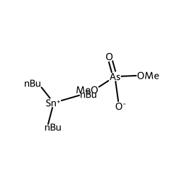 CCC[CH2][Sn+]([CH2]CCC)[CH2]CCC.CO[As](=O)([O-])OC